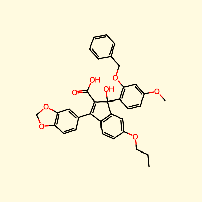 CCCOc1ccc2c(c1)C(O)(c1ccc(OC)cc1OCc1ccccc1)C(C(=O)O)=C2c1ccc2c(c1)OCO2